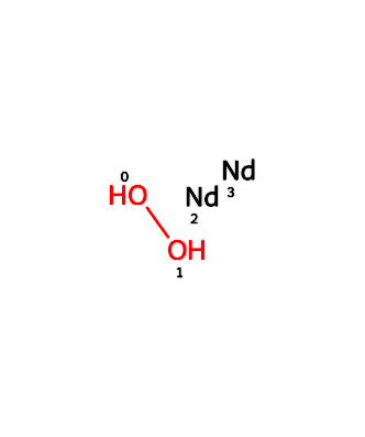 OO.[Nd].[Nd]